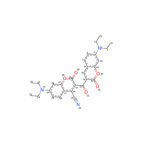 CCN(CC)c1ccc2cc(C(=O)c3c(C#N)c4ccc(N(CC)CC)cc4oc3=O)c(=O)oc2c1